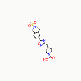 CS(=O)(=O)N1CCc2cc(-c3nc(CC4CCN(C(=O)O)CC4)no3)ccc2C1